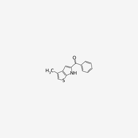 Cc1csc2[nH]c(C(=O)c3ccccc3)cc12